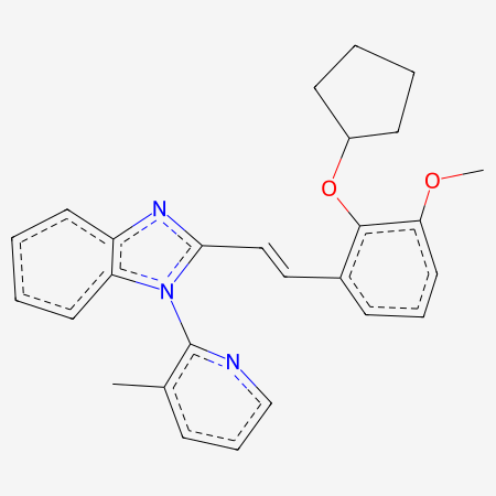 COc1cccc(/C=C/c2nc3ccccc3n2-c2ncccc2C)c1OC1CCCC1